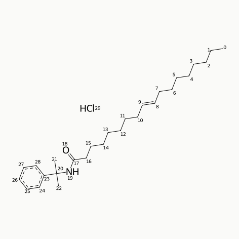 CCCCCCCCC=CCCCCCCCC(=O)NC(C)(C)c1ccccc1.Cl